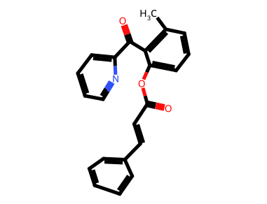 Cc1cccc(OC(=O)C=Cc2ccccc2)c1C(=O)c1ccccn1